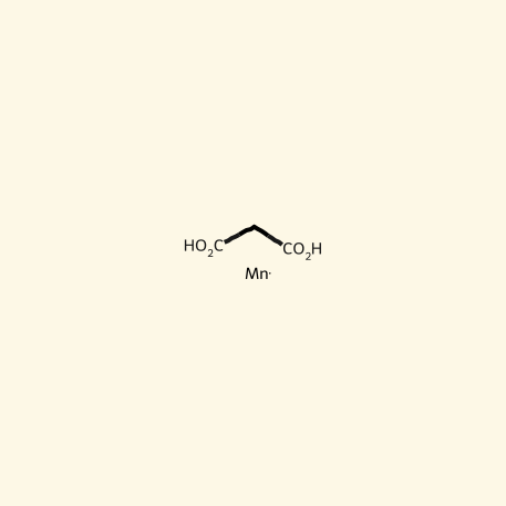 O=C(O)CC(=O)O.[Mn]